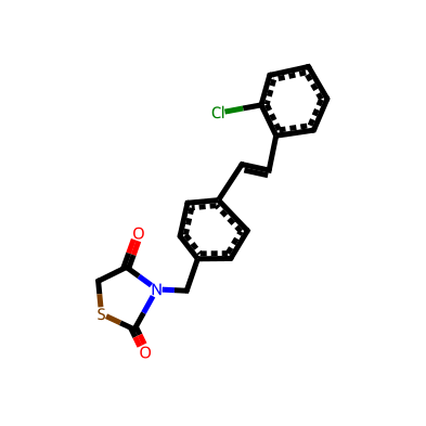 O=C1CSC(=O)N1Cc1ccc(C=Cc2ccccc2Cl)cc1